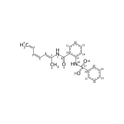 C=C/C=C\C=C(/C)NC(=O)c1ccccc1NS(=O)(=O)c1ccccc1